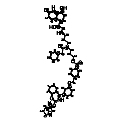 O=C(N[C@@H](c1ccccc1)c1cccc(OCc2ccc(C(=O)OCCCN(CCCNC[C@H](O)c3ccc(O)c4[nH]c(=O)ccc34)C(=O)Cc3ccccc3)cc2)c1)O[C@H]1CN2CCC1CC2